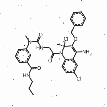 CCCNC(=O)c1cccc(N(C)C(=O)NCC(=O)N2c3ccc(Cl)cc3C(N)=C(OCc3ccccc3)C2(C)Cl)c1